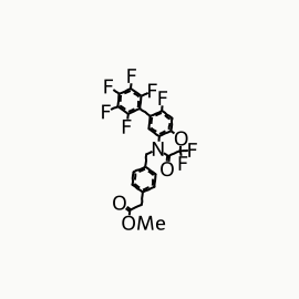 COC(=O)Cc1ccc(CN2C(=O)C(F)(F)Oc3cc(F)c(-c4c(F)c(F)c(F)c(F)c4F)cc32)cc1